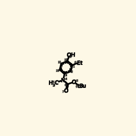 CCc1cc(N(C)C(=O)OC(C)(C)C)ccc1O